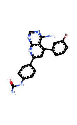 NC(=O)Nc1ccc(-c2cc(-c3cccc(Br)c3)c3c(N)ncnc3n2)cc1